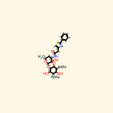 CN[C@@H]1[C@H](O)[C@H](NC)C2O[C@]3(O)C(OC2[C@@H]1O)O[C@H](C)C[C@H]3NC(=O)Cc1csc(-c2ccccc2)n1